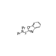 CC(C)N(Sc1nc2ccccc2o1)C(C)C